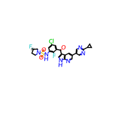 O=C(c1cc(Cl)cc(NS(=O)(=O)N2CC[C@@H](F)C2)c1F)c1c[nH]c2ncc(-c3cnc(C4CC4)nc3)cc12